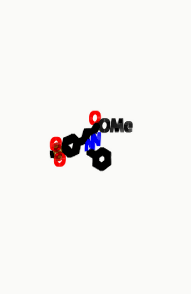 COC(=O)c1cc(-c2ccc(S(C)(=O)=O)cc2)n(CC2CCCCC2)n1